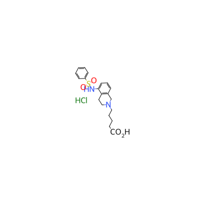 Cl.O=C(O)CCCCN1CCc2c(cccc2NS(=O)(=O)c2ccccc2)C1